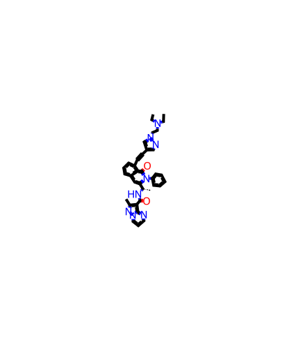 CCN(CC)CCn1cc(C#Cc2cccc3cc([C@H](C)NC(=O)c4c(C)nn5cccnc45)n(-c4ccccc4)c(=O)c23)cn1